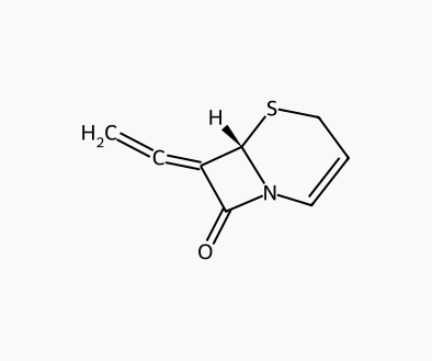 C=C=C1C(=O)N2C=CCS[C@@H]12